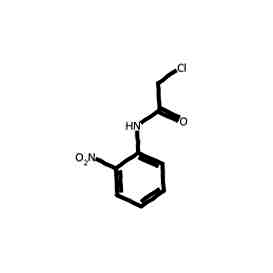 O=C(CCl)Nc1ccccc1[N+](=O)[O-]